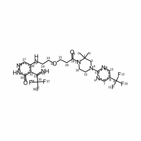 CC1(C)CN(c2ncc(C(F)(F)F)cn2)CCN1C(=O)CCOCCNc1cn[nH]c(=O)c1C(=N)C(F)(F)F